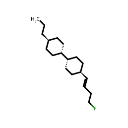 CCC[C@H]1CC[C@H]([C@H]2CC[C@H](C=CCCF)CC2)CC1